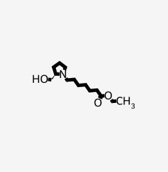 CCOC(=O)CCCCCCN1CCC[C@H]1CO